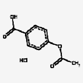 CC(=O)Oc1ccc(C(=O)O)cc1.Cl